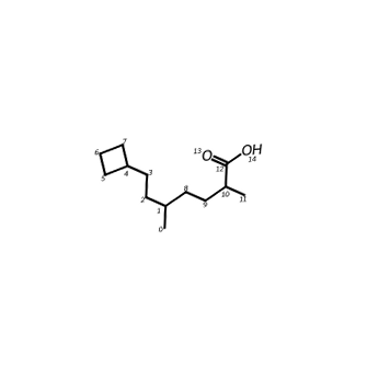 CC(CCC1CCC1)CCC(C)C(=O)O